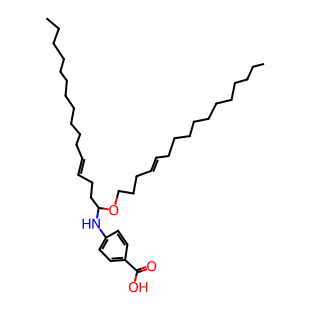 CCCCCCCCCCCC=CCCCOC(CCC=CCCCCCCCCCCC)Nc1ccc(C(=O)O)cc1